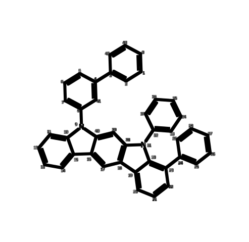 c1ccc(-c2cccc(-n3c4ccccc4c4cc5c6cccc(-c7ccccc7)c6n(-c6ccccc6)c5cc43)c2)cc1